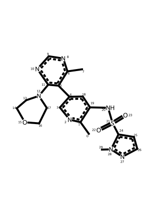 Cc1ncc(-c2c(C)ncnc2N2CCOCC2)cc1NS(=O)(=O)c1ccnn1C